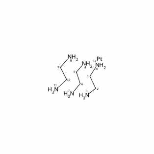 NCCN.NCCN.NCCN.[Pt]